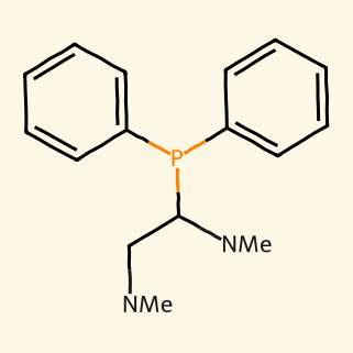 CNCC(NC)P(c1ccccc1)c1ccccc1